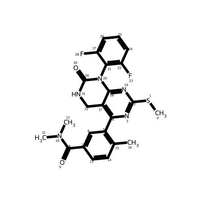 CSc1nc(-c2cc(C(=O)N(C)C)ccc2C)c2c(n1)N(c1c(F)cccc1F)C(=O)NC2